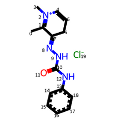 CC1=[N+](C)C=CCC1=NNC(=O)Nc1ccccc1.[Cl-]